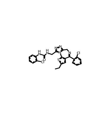 CCc1cc2c(s1)-n1c(nnc1CNC(=O)Nc1ccccc1Cl)CN=C2c1ccccc1Cl